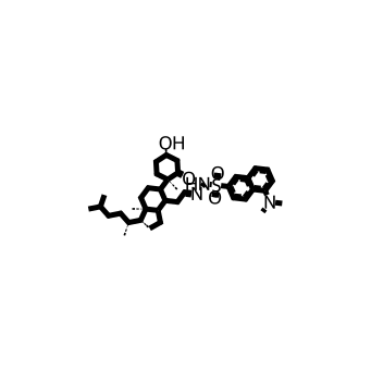 CC(C)CC[C@@H](C)[C@H]1CCC2C(C/C=N/NS(=O)(=O)c3ccc4c(N(C)C)cccc4c3)C([C@@]3(C)CC[C@H](O)CC3=O)CC[C@@]21C